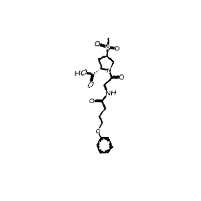 CS(=O)(=O)[C@@H]1C[C@@H](C(=O)O)N(C(=O)CNC(=O)CCCOc2ccccc2)C1